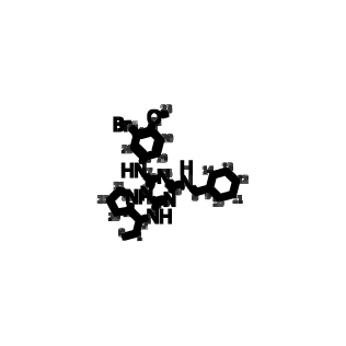 CCC(Nc1nc(NCC2CCCCC2)nc(Nc2ccc(OC)c(Br)c2)n1)C1CCCN1